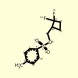 Cc1ccc(S(=O)(=O)OCC2CCC2(F)F)cc1